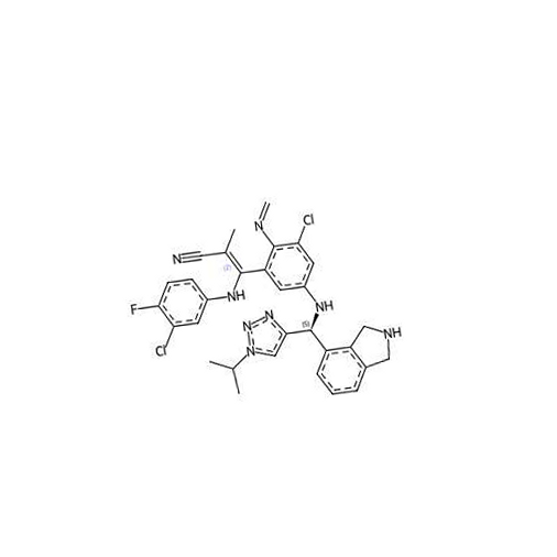 C=Nc1c(Cl)cc(N[C@H](c2cn(C(C)C)nn2)c2cccc3c2CNC3)cc1/C(Nc1ccc(F)c(Cl)c1)=C(\C)C#N